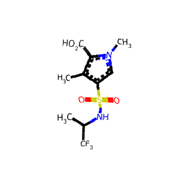 Cc1c(S(=O)(=O)NC(C)C(F)(F)F)cn(C)c1C(=O)O